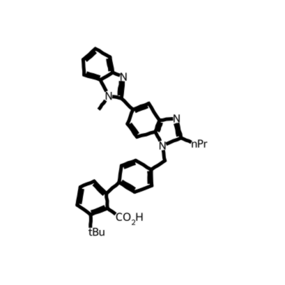 CCCc1nc2cc(-c3nc4ccccc4n3C)ccc2n1Cc1ccc(-c2cccc(C(C)(C)C)c2C(=O)O)cc1